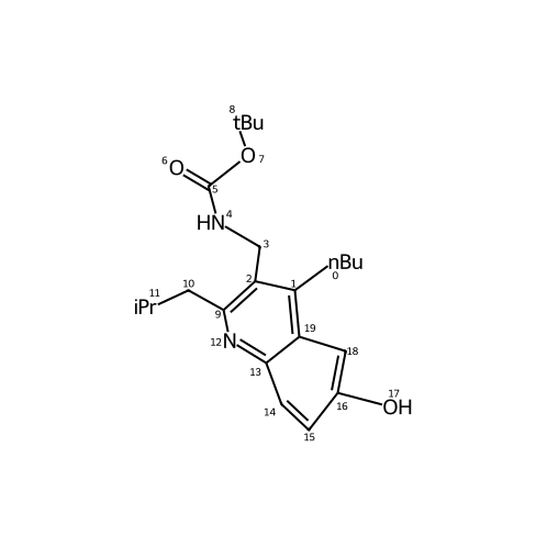 CCCCc1c(CNC(=O)OC(C)(C)C)c(CC(C)C)nc2ccc(O)cc12